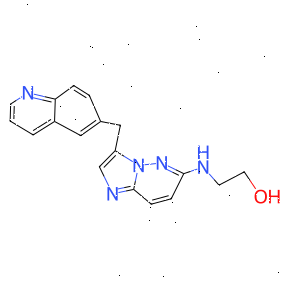 OCCNc1ccc2ncc(Cc3ccc4ncccc4c3)n2n1